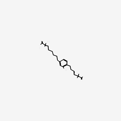 CC(C)(CCCCCCc1ccc(CCCCC(C)(C)C(=O)O)c(O)c1)C(=O)O